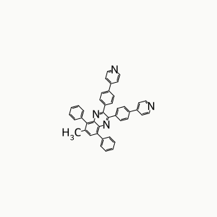 Cc1cc(-c2ccccc2)c2nc(-c3ccc(-c4ccncc4)cc3)c(-c3ccc(-c4ccncc4)cc3)nc2c1-c1ccccc1